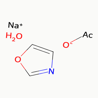 CC(=O)[O-].O.[Na+].c1cocn1